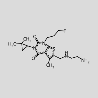 Cc1c(CNCCN)sc2c1c(=O)n(C1CC1(C)C)c(=O)n2CCCF